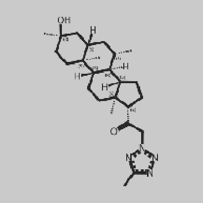 Cc1nnn(CC(=O)[C@H]2CC[C@H]3[C@@H]4[C@@H](C)C[C@H]5C[C@](C)(O)CC[C@]5(C)[C@H]4CC[C@]23C)n1